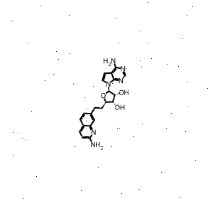 Nc1ccc2ccc(CC[C@H]3O[C@@H](n4ccc5c(N)ncnc54)[C@H](O)[C@@H]3O)cc2n1